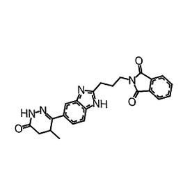 CC1CC(=O)NN=C1c1ccc2[nH]c(CCCN3C(=O)c4ccccc4C3=O)nc2c1